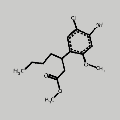 CCCCC(CC(=O)OC)c1cc(Cl)c(O)cc1OC